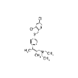 CCN(CC)CC(C)=C(C)c1ccc(SCc2ccc(Cl)cc2Cl)cc1